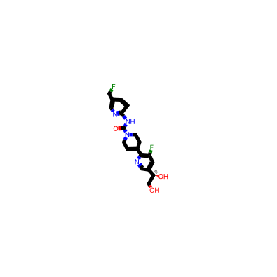 O=C(Nc1ccc(CF)cn1)N1CC=C(c2ncc([C@H](O)CO)cc2F)CC1